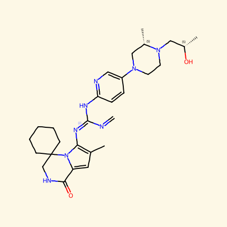 C=N/C(=N\c1c(C)cc2n1C1(CCCCC1)CNC2=O)Nc1ccc(N2CCN(C[C@H](C)O)[C@@H](C)C2)cn1